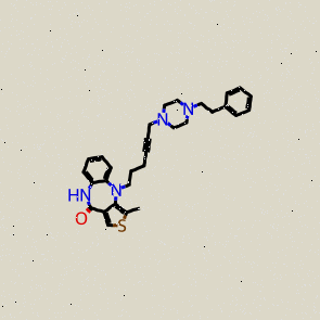 Cc1scc2c1N(CCCC#CCN1CCN(CCc3ccccc3)CC1)c1ccccc1NC2=O